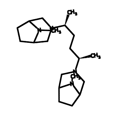 C[C@H](CC[C@H](C)N1CC2CCC(C1)N2C)N1CC2CCC(C1)N2C